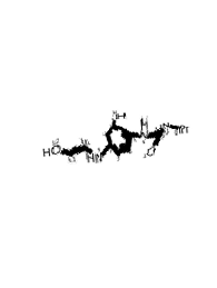 CC(C)NC(=O)Nc1ccc(NCCO)cc1O